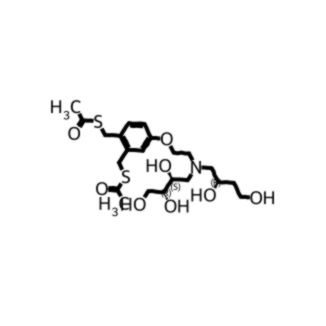 CC(=O)SCc1ccc(OCCN(C[C@H](O)CCO)C[C@H](O)[C@H](O)CO)cc1CSC(C)=O